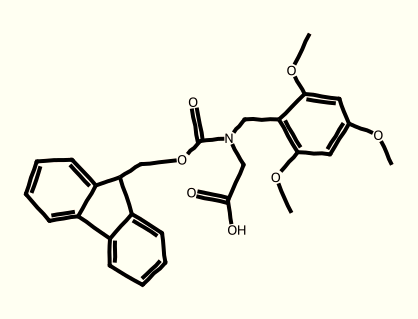 COc1cc(OC)c(CN(CC(=O)O)C(=O)OCC2c3ccccc3-c3ccccc32)c(OC)c1